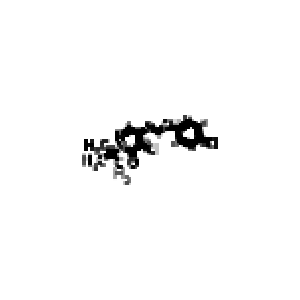 CC(C)(C)n1ncc(SCOc2ccc(Cl)cc2)c(Cl)c1=O